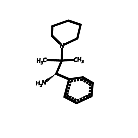 CC(C)([C@@H](N)c1ccccc1)N1CCCCC1